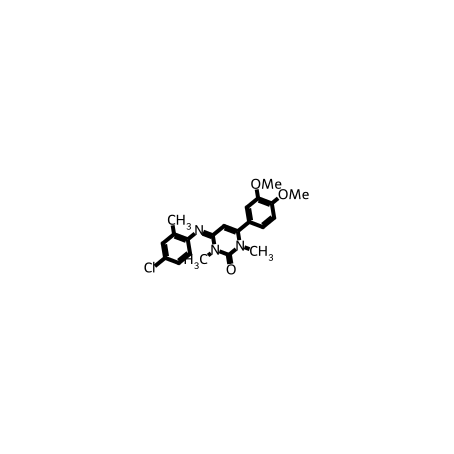 COc1ccc(-c2c/c(=N/c3ccc(Cl)cc3C)n(C)c(=O)n2C)cc1OC